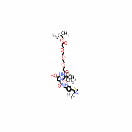 Cc1ncsc1-c1ccc(CNC(=O)[C@@H]2C[C@@H](O)CN2C(=O)[C@@H](NC(=O)CCOCCOCCOCCC(=O)OCC(C)C)C(C)(C)C)cc1